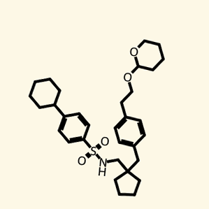 O=S(=O)(NCC1(Cc2ccc(CCOC3CCCCO3)cc2)CCCC1)c1ccc(C2CCCCC2)cc1